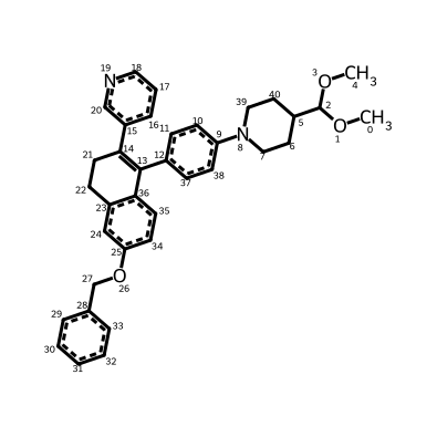 COC(OC)C1CCN(c2ccc(C3=C(c4cccnc4)CCc4cc(OCc5ccccc5)ccc43)cc2)CC1